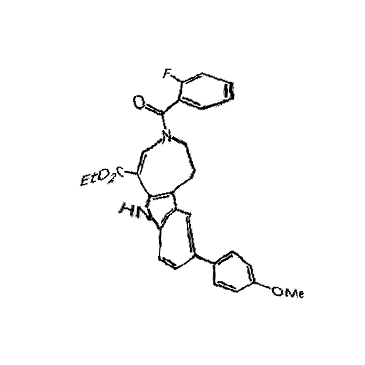 CCOC(=O)C1=CN(C(=O)c2ccccc2F)CCc2c1[nH]c1ccc(-c3ccc(OC)cc3)cc21